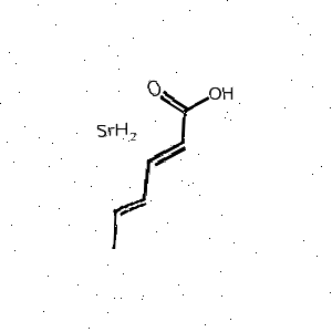 CC=CC=CC(=O)O.[SrH2]